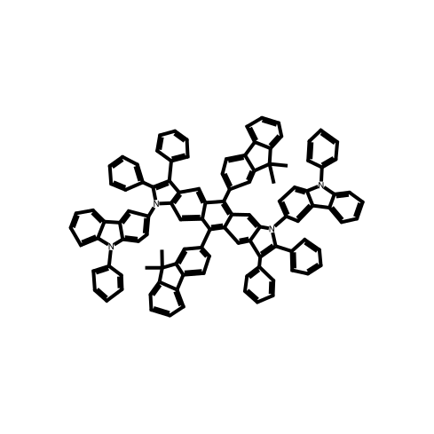 CC1(C)c2ccccc2-c2ccc(-c3c4cc5c(-c6ccccc6)c(-c6ccccc6)n(-c6ccc7c(c6)c6ccccc6n7-c6ccccc6)c5cc4c(-c4ccc5c(c4)C(C)(C)c4ccccc4-5)c4cc5c(-c6ccccc6)c(-c6ccccc6)n(-c6ccc7c(c6)c6ccccc6n7-c6ccccc6)c5cc34)cc21